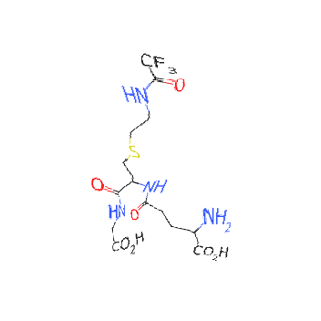 NC(CCC(=O)NC(CSCCNC(=O)C(F)(F)F)C(=O)NCC(=O)O)C(=O)O